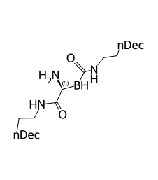 CCCCCCCCCCCCNC(=O)B[C@H](N)C(=O)NCCCCCCCCCCCC